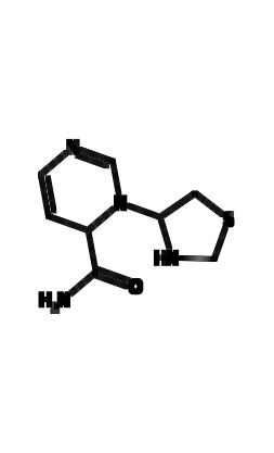 NC(=O)C1C=CN=CN1C1CSCN1